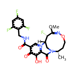 CO/C1=N/OCC[C@H](C)N2C[C@@H]([C@@H]1F)n1cc(C(=O)NCc3c(F)cc(F)cc3F)c(=O)c(O)c1C2=O